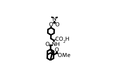 COC(=O)C12CC3CC(CC(C(=O)N[C@@H](CC4CCC(OC(=O)N(C)C)CC4)C(=O)O)(C3)C1)C2